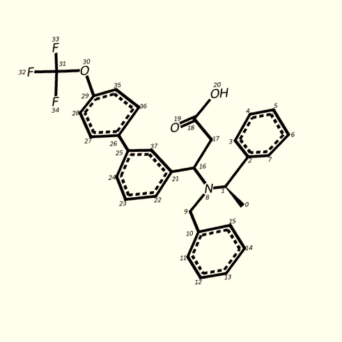 C[C@H](c1ccccc1)N(Cc1ccccc1)C(CC(=O)O)c1cccc(-c2ccc(OC(F)(F)F)cc2)c1